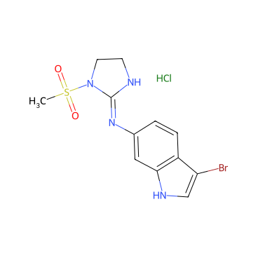 CS(=O)(=O)N1CCNC1=Nc1ccc2c(Br)c[nH]c2c1.Cl